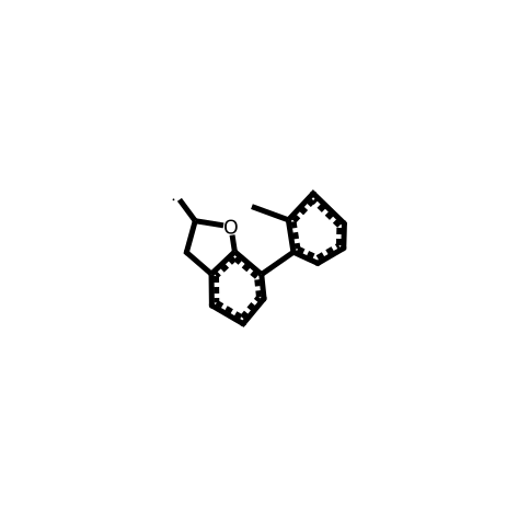 [CH2]C1Cc2cccc(-c3ccccc3C)c2O1